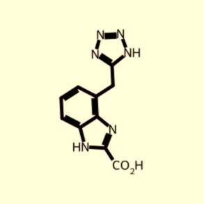 O=C(O)c1nc2c(Cc3nnn[nH]3)cccc2[nH]1